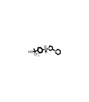 CC(O)(c1ccc(S(=O)(=O)N2CCC(N3CCCCC3)C2)cc1)C(F)(F)F